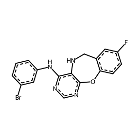 Fc1ccc2c(c1)CNc1c(Nc3cccc(Br)c3)ncnc1O2